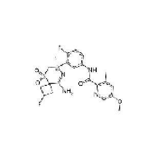 COc1cnc(C(=O)Nc2ccc(F)c([C@]3(C)CS(=O)(=O)C4(CC(F)C4)C(N)=N3)c2)c(C)c1